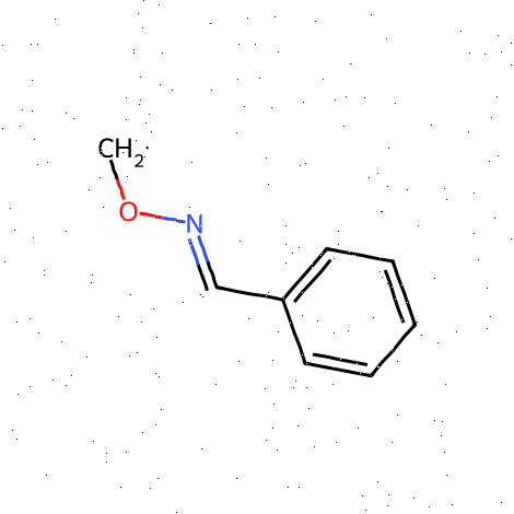 [CH2]ON=Cc1ccccc1